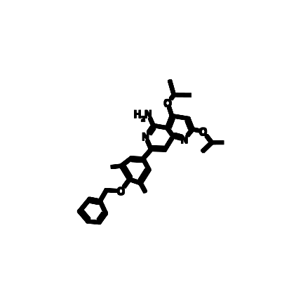 Cc1cc(-c2cc3nc(OC(C)C)cc(OC(C)C)c3c(N)n2)cc(C)c1OCc1ccccc1